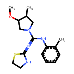 COC1CN(C(=[N+]=C2NCCS2)Nc2ccccc2C)CC1C